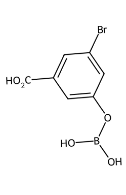 O=C(O)c1cc(Br)cc(OB(O)O)c1